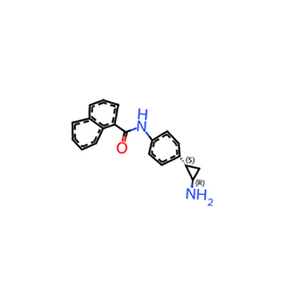 N[C@@H]1C[C@H]1c1ccc(NC(=O)c2cccc3ccccc23)cc1